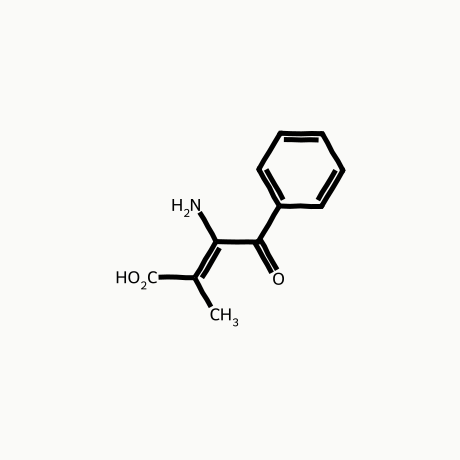 C/C(C(=O)O)=C(/N)C(=O)c1ccccc1